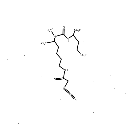 CN(C(=O)NC(CCC(=O)O)C(=O)O)C(CCCCNC(=O)CN=[N+]=[N-])C(=O)O